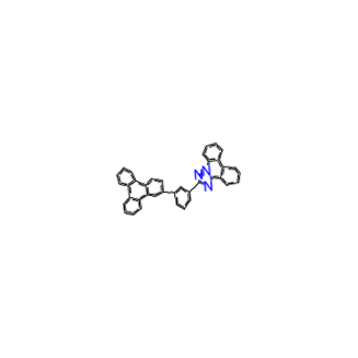 c1cc(-c2ccc3c4ccccc4c4ccccc4c3c2)cc(-c2nc3c4ccccc4c4ccccc4n3n2)c1